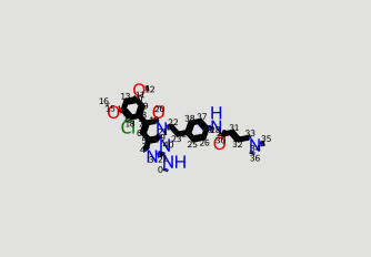 CNc1ncc2cc(-c3cc(OC)cc(OC)c3Cl)c(=O)n(CCc3ccc(NC(=O)C=CCN(C)C)cc3)c2n1